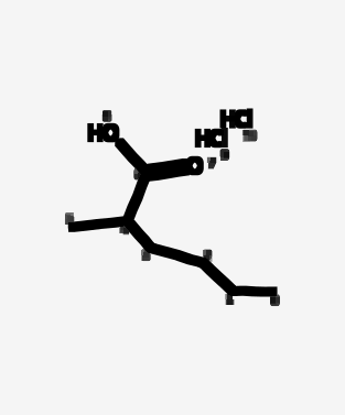 CCCCC(C)C(=O)O.Cl.Cl